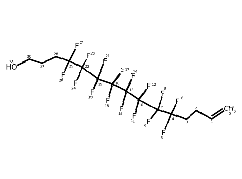 C=CCCC(F)(F)C(F)(F)C(F)(F)C(F)(F)C(F)(F)C(F)(F)C(F)(F)C(F)(F)CCCO